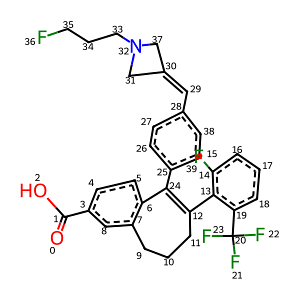 O=C(O)c1ccc2c(c1)CCCC(c1c(F)cccc1C(F)(F)F)=C2c1ccc(C=C2CN(CCCF)C2)cc1